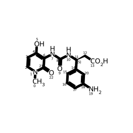 Cn1ccc(O)c(NC(=O)N[C@@H](CC(=O)O)c2cccc(N)c2)c1=O